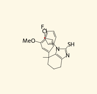 COc1cc(C2(C)CCCc3nc(S)n(-c4ccc(F)cc4)c32)ccc1Cl